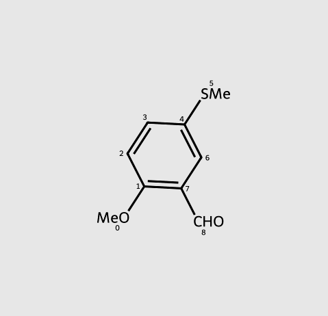 COc1ccc(SC)cc1C=O